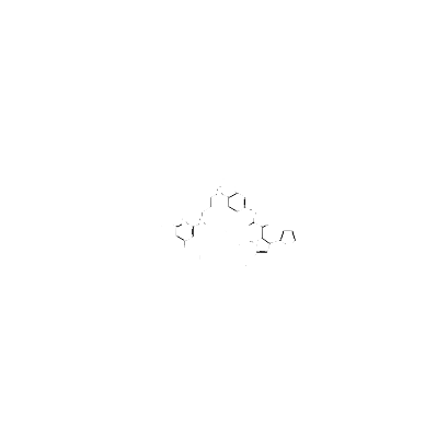 Cc1cc(C)nc(N(C)CCCN(C)c2ccc(NC(=O)C(=O)c3c(-c4cccs4)cc(C)n3C)cc2)c1